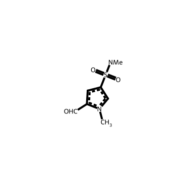 CNS(=O)(=O)c1cc(C=O)n(C)c1